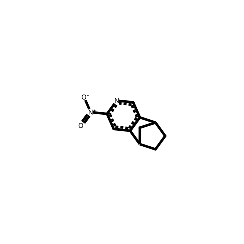 O=[N+]([O-])c1cc2c(cn1)C1CCC2C1